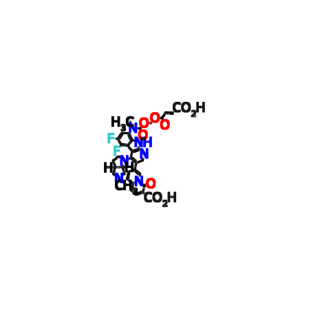 CN1C[C@@H]2CCN(c3c(-c4ccc5ccc(C(=O)O)c(=O)n5c4)cnc4[nH]c5c(N(C)C(=O)OCOC(=O)/C=C/C(=O)O)cc(F)c(F)c5c34)[C@@H]2C1